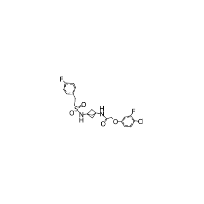 O=C(COc1ccc(Cl)c(F)c1)NC12CC(NS(=O)(=O)CCc3ccc(F)cc3)(C1)C2